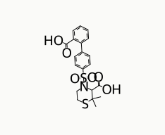 CC1(C)SCCN(S(=O)(=O)c2ccc(-c3ccccc3C(=O)O)cc2)C1C(=O)O